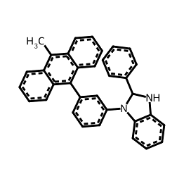 Cc1c2ccccc2c(-c2cccc(N3c4ccccc4NC3c3ccccc3)c2)c2ccccc12